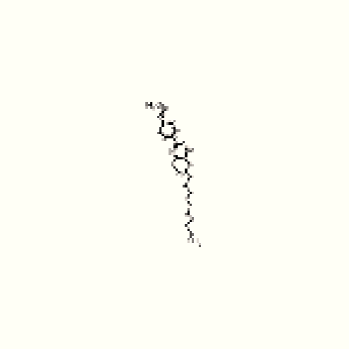 CCCCCCCCCCC1CCc2nc(-c3ccc(OCC)cc3)ncc2C1